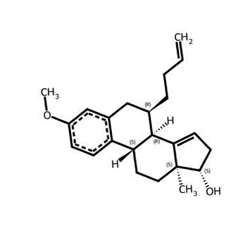 C=CCC[C@@H]1Cc2cc(OC)ccc2[C@H]2CC[C@@]3(C)C(=CC[C@@H]3O)[C@H]12